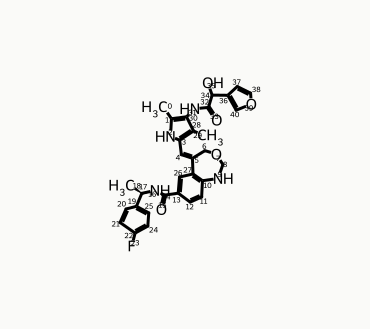 Cc1[nH]c(/C=C2\COCNc3ccc(C(=O)N[C@H](C)c4ccc(F)cc4)cc32)c(C)c1NC(=O)C(O)c1ccoc1